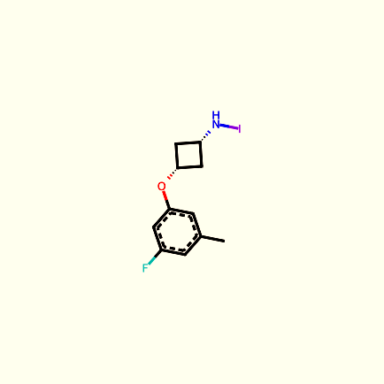 Cc1cc(F)cc(O[C@H]2C[C@@H](NI)C2)c1